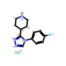 Cl.Fc1ccc(-n2cnnc2C2CCNCC2)cc1